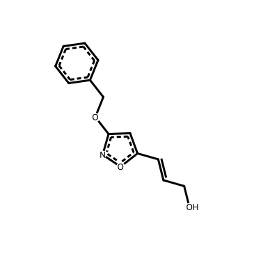 OCC=Cc1cc(OCc2ccccc2)no1